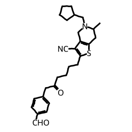 CC1Cc2sc(CCCCC(=O)Cc3ccc(C=O)cc3)c(C#N)c2CN1CC1CCCC1